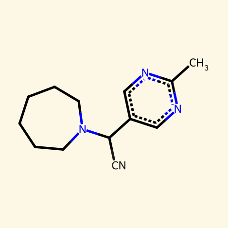 Cc1ncc(C(C#N)N2CCCCCC2)cn1